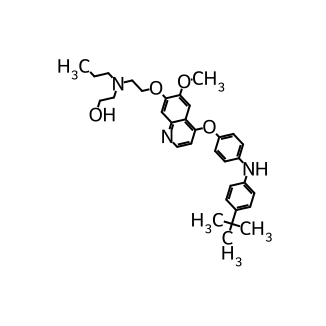 CCCN(CCO)CCOc1cc2nccc(Oc3ccc(Nc4ccc(C(C)(C)C)cc4)cc3)c2cc1OC